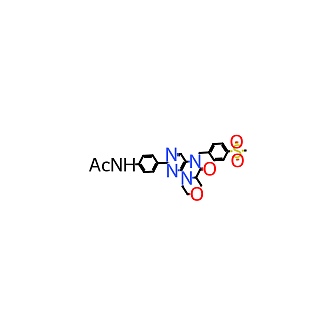 CC(=O)Nc1ccc(-c2ncc3c(n2)N2CCOCC2C(=O)N3Cc2ccc(S(C)(=O)=O)cc2)cc1